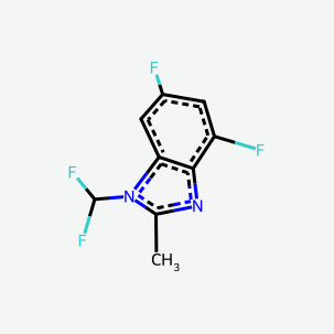 Cc1nc2c(F)cc(F)cc2n1C(F)F